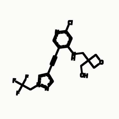 OCC1(CNc2cc(Cl)ncc2C#Cc2cnn(CC(F)(F)F)c2)COC1